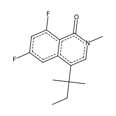 CCC(C)(C)c1cn(C)c(=O)c2c(F)cc(F)cc12